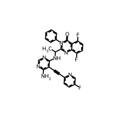 CC(Nc1ncnc(N)c1C#Cc1ccc(F)cn1)c1nc2c(F)ccc(F)c2c(=O)n1-c1ccccc1